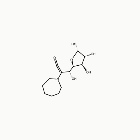 O=C=C([C@@H](O)[C@H]1O[C@H](O)[C@H](O)[C@H]1O)N1CCCCCC1